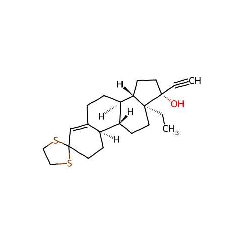 C#C[C@]1(O)CC[C@H]2[C@@H]3CCC4=CC5(CC[C@@H]4[C@H]3CC[C@@]21CC)SCCS5